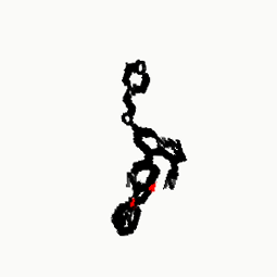 CCCN1C2CC1CN(c1ccc(-c3cc(OCCN4CCOCC4)cn4ncc(C#N)c34)cn1)C2